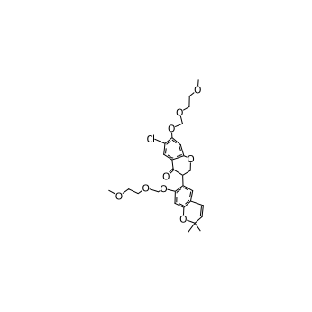 COCCOCOc1cc2c(cc1Cl)C(=O)C(c1cc3c(cc1OCOCCOC)OC(C)(C)C=C3)CO2